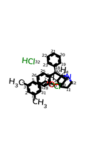 Cc1cc(C)cc(CO[C@@H]2C3CCN(CC3)[C@@H]2[C@H](c2ccccc2)c2ccccc2Cl)c1.Cl